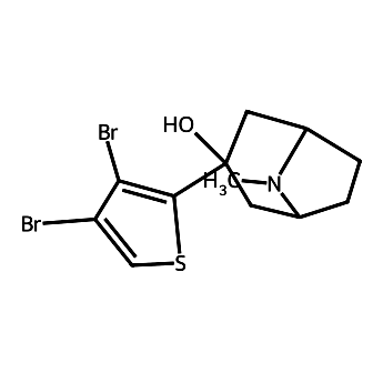 CN1C2CCC1CC(O)(c1scc(Br)c1Br)C2